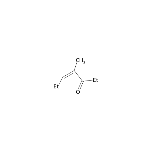 CCC=C(C)C(=O)CC